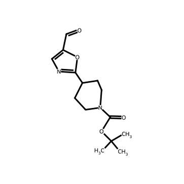 CC(C)(C)OC(=O)N1CCC(c2ncc(C=O)o2)CC1